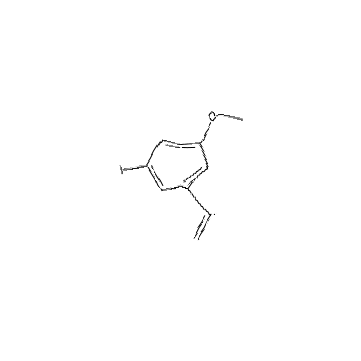 C=[C]c1cc(I)cc(OC)c1